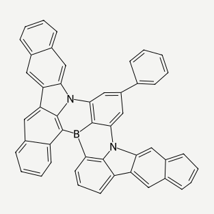 c1ccc(-c2cc3c4c(c2)-n2c5cc6ccccc6cc5c5cc6ccccc6c(c52)B4c2cccc4c5cc6ccccc6cc5n-3c24)cc1